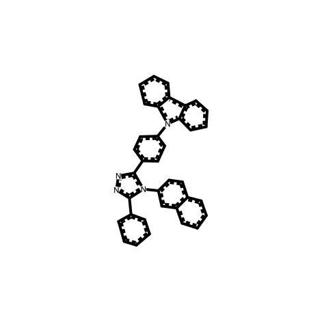 c1ccc(-c2nnc(-c3ccc(-n4c5ccccc5c5ccccc54)cc3)n2-c2ccc3ccccc3c2)cc1